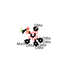 COc1ccc(OC2O[C@H](CCP(=O)(O)CC3CC3(F)F)[C@@H](OCc3ccc(OC)c(OC)c3)[C@H](OCc3ccc(OC)c(OC)c3)[C@@H]2OCc2ccc(OC)c(OC)c2)cc1